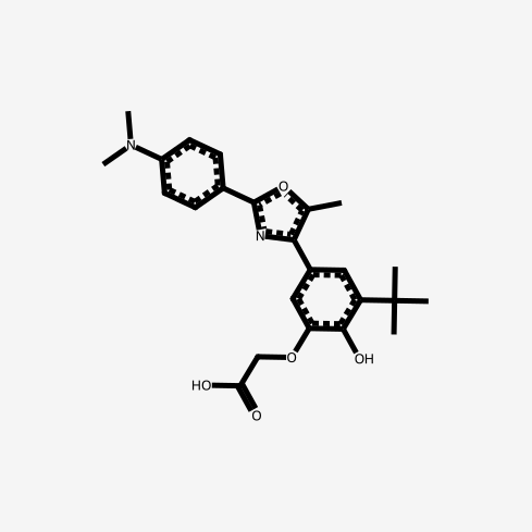 Cc1oc(-c2ccc(N(C)C)cc2)nc1-c1cc(OCC(=O)O)c(O)c(C(C)(C)C)c1